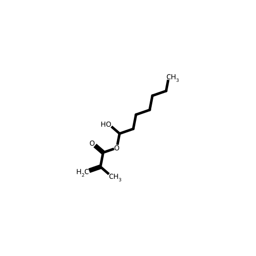 C=C(C)C(=O)OC(O)CCCCCC